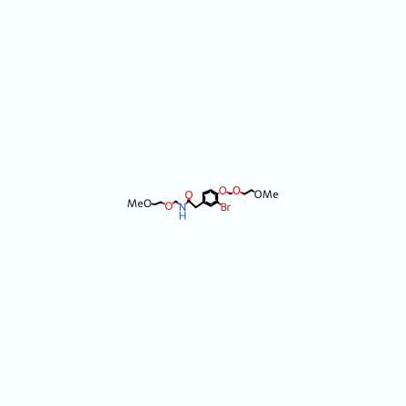 COCCOCNC(=O)Cc1ccc(OCOCCOC)c(Br)c1